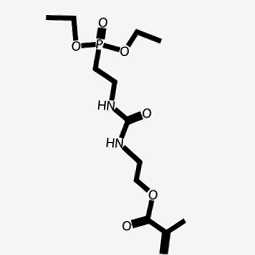 C=C(C)C(=O)OCCNC(=O)NCCP(=O)(OCC)OCC